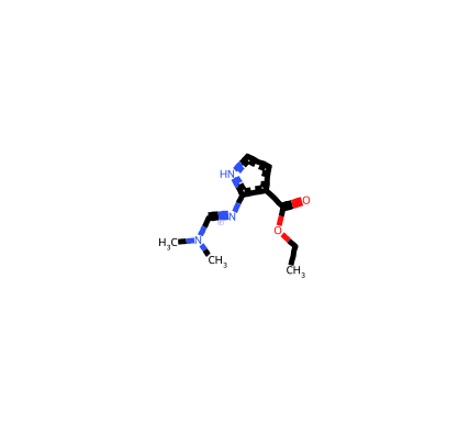 CCOC(=O)c1cc[nH]c1/N=C/N(C)C